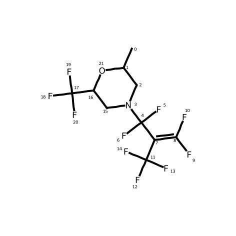 CC1CN(C(F)(F)C(=C(F)F)C(F)(F)F)CC(C(F)(F)F)O1